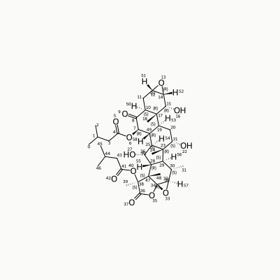 CC(C)CC(=O)O[C@H]1C(=O)[C@H]2C[C@@H]3O[C@@H]3[C@H](O)[C@]2(C)[C@H]2C[C@H](O)[C@@]3(C)[C@@H]([C@@H](O)[C@@H]4[C@@H]3[C@H](C)[C@H]3O[C@]35OC(=O)[C@@](C)(OC(=O)CC(C)C)[C@]45C)[C@H]12